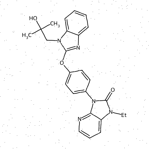 CCn1c(=O)n(-c2ccc(Oc3nc4ccccc4n3CC(C)(C)O)cc2)c2ncccc21